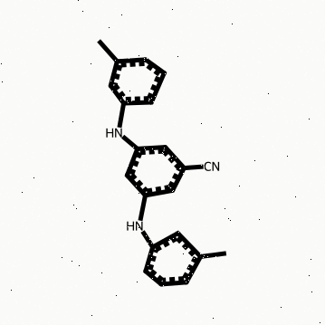 Cc1cccc(Nc2cc(C#N)cc(Nc3cccc(C)c3)c2)c1